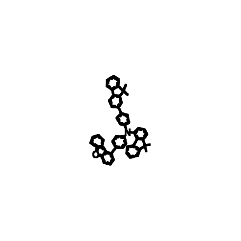 CC1(C)c2ccccc2-c2ccc(-c3ccc(N(c4ccc(-c5cccc6oc7ccccc7c56)cc4)c4cccc5c4-c4ccccc4C5(C)C)cc3)cc21